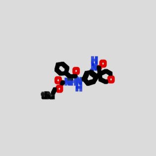 CC(C)(C)COC(=O)N[C@H](C(=O)Nc1ccc2c(c1)NC(=O)C21CCOCC1)C1CCCCC1